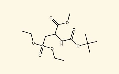 CCOP(=O)(CC(NC(=O)OC(C)(C)C)C(=O)OC)OCC